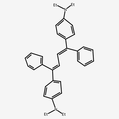 CCN(CC)c1ccc(/C(=C/C=C(\c2ccccc2)c2ccc(N(CC)CC)cc2)c2ccccc2)cc1